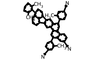 Cc1cc(C#N)ccc1-c1cc2c3cc4c(cc3c(-c3ccc(C#N)cc3C)cc2c2ccc(C#N)cc12)-c1ccc(-c2c(C)cccc2C)c2cccc-4c12